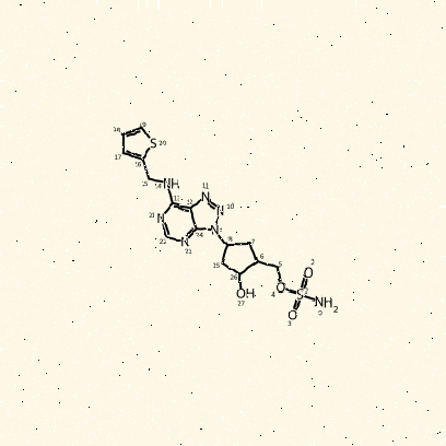 NS(=O)(=O)OCC1CC(n2nnc3c(NCc4cccs4)ncnc32)CC1O